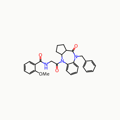 COc1ccccc1C(=O)NCC(=O)N1c2ccccc2N(Cc2ccccc2)C(=O)C2CCCC21